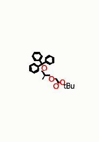 C[C@H](COCC(=O)OC(C)(C)C)COC(c1ccccc1)(c1ccccc1)c1ccccc1